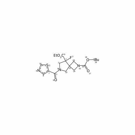 CCOC(=O)C1(F)CN(C(=O)c2cncs2)CC12CN(C(=O)OC(C)(C)C)C2